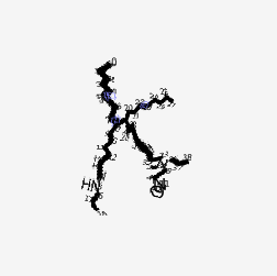 CCCC/C=C/C/C=C(/CCCCCCNCCC)C(CC/C=C/CCCC)CCCCCC[N+](C)(CCC)CCN=O